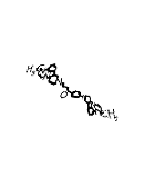 CN1CCN2c3c(cccc31)C1CN(CCCC(=O)c3ccc(N4CCC5C(C4)c4cccc6c4N5CCN6C)cc3)CCC12